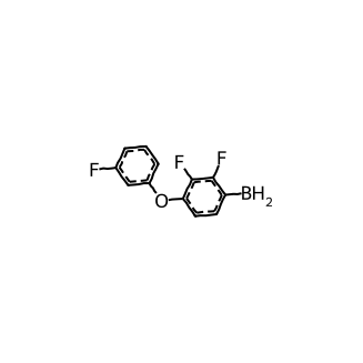 Bc1ccc(Oc2cccc(F)c2)c(F)c1F